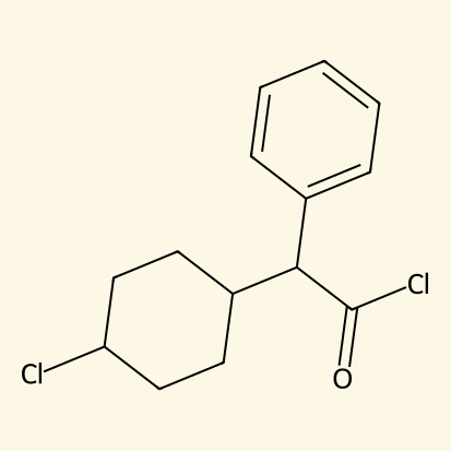 O=C(Cl)C(c1ccccc1)C1CCC(Cl)CC1